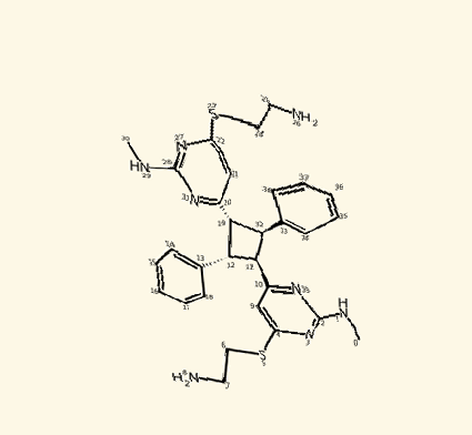 CNc1nc(SCCN)cc([C@H]2[C@H](c3ccccc3)[C@H](c3cc(SCCN)nc(NC)n3)[C@H]2c2ccccc2)n1